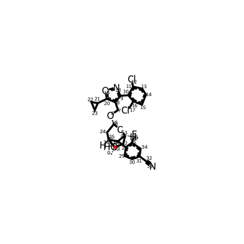 C[C@H]1C[C@@H]2C[C@@H](OCc3c(-c4c(Cl)cccc4Cl)noc3C3CC3)C[C@H]1[C@]2(O)c1ccc(C#N)cc1F